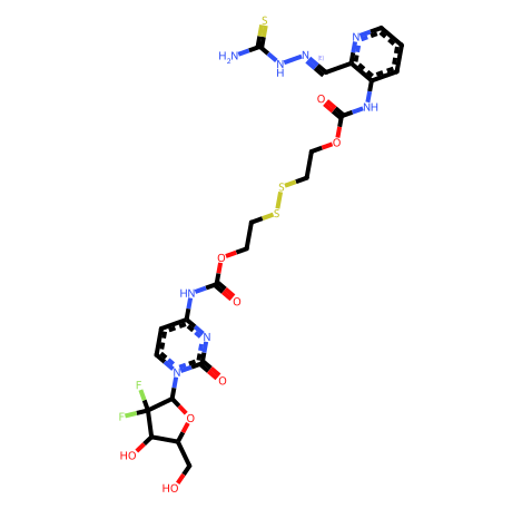 NC(=S)N/N=C/c1ncccc1NC(=O)OCCSSCCOC(=O)Nc1ccn(C2OC(CO)C(O)C2(F)F)c(=O)n1